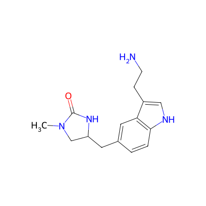 CN1CC(Cc2ccc3[nH]cc(CCN)c3c2)NC1=O